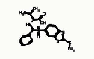 CSc1nc2ccc(S(=O)(=O)C(N[C@@H](C(=O)O)C(C)C)c3ccccc3)cc2s1